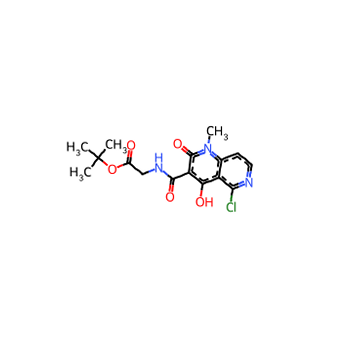 Cn1c(=O)c(C(=O)NCC(=O)OC(C)(C)C)c(O)c2c(Cl)nccc21